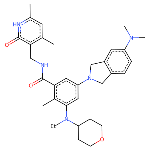 CCN(c1cc(N2Cc3ccc(N(C)C)cc3C2)cc(C(=O)NCc2c(C)cc(C)[nH]c2=O)c1C)C1CCOCC1